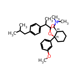 COc1cccc([C@@]2(OC(=O)C(C)c3ccc(CC(C)C)cc3)CCCC[C@@H]2CN(C)C)c1